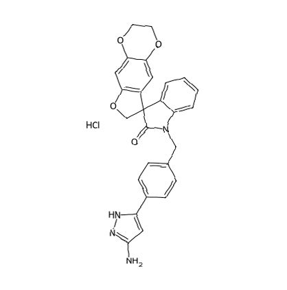 Cl.Nc1cc(-c2ccc(CN3C(=O)C4(COc5cc6c(cc54)OCCO6)c4ccccc43)cc2)[nH]n1